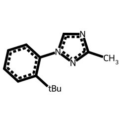 Cc1ncn(-c2ccccc2C(C)(C)C)n1